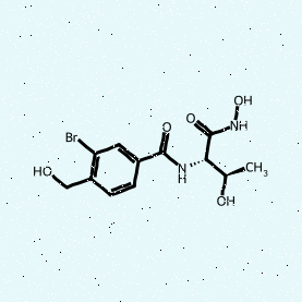 C[C@@H](O)[C@H](NC(=O)c1ccc(CO)c(Br)c1)C(=O)NO